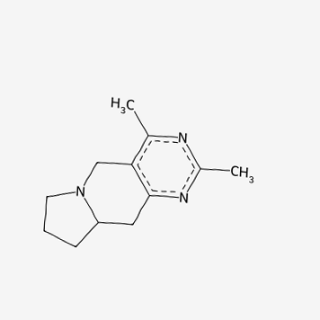 Cc1nc(C)c2c(n1)CC1CCCN1C2